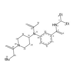 C=C(NC(CC)CC)c1cccc(N(C(=C)C)C2CCN(C(=C)CC(C)(C)C)CC2)c1